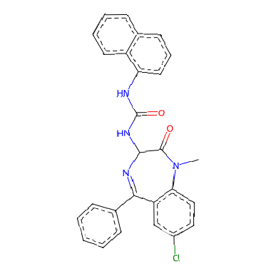 CN1C(=O)C(NC(=O)Nc2cccc3ccccc23)N=C(c2ccccc2)c2cc(Cl)ccc21